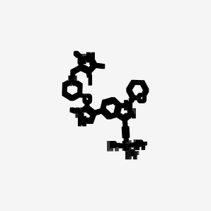 Cc1nn(C)c(CN2CCC[C@@H](Oc3c(-c4ccc5c(c4)c(C#C[Si](C(C)C)(C(C)C)C(C)C)nn5C4CCCCO4)cnn3C)C2)c1I